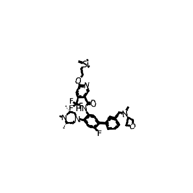 C[C@@H]1CN(c2cc(F)c(-c3cccc(CN(C)C4COC4)c3)cc2NC(=O)c2cnc(OCC[Si](C)(C)C)cc2C(F)(F)F)C[C@H](C)N1C